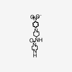 O=C(NC1CCN(c2ccc([N+](=O)[O-])cc2)CC1)N1CCNCC1